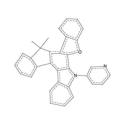 CC1(C)c2ccccc2-c2c1c1c3ccccc3oc1c1c2c2ccccc2n1-c1cccnc1